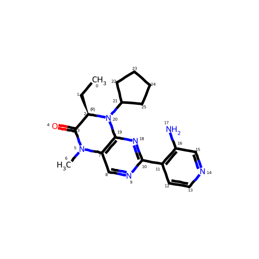 CC[C@@H]1C(=O)N(C)c2cnc(-c3ccncc3N)nc2N1C1CCCC1